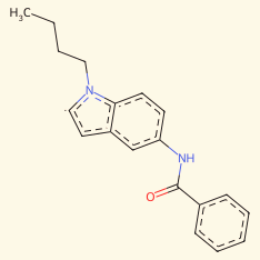 CCCCn1[c]cc2cc(NC(=O)c3ccccc3)ccc21